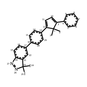 CC1(C)C(c2ccccc2)=CC=C1c1ccc(-c2ccc3c(c2)C(I)(I)N=N3)cc1